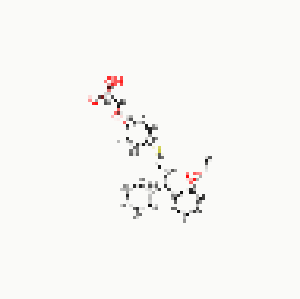 CCOc1ccccc1C(=CCSc1ccc(OCC(=O)O)cc1)c1ccccc1